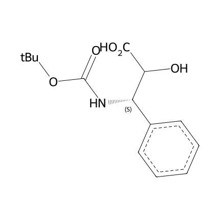 CC(C)(C)OC(=O)N[C@@H](c1ccccc1)C(O)C(=O)O